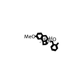 COc1ccc2c(c1)[C@]1(C)CC3[C@H]1[C@@H](C2)N3C(=O)c1ccccc1C